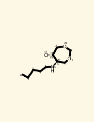 CCCCCN[C@@H]1COCOC[C@H]1Cl